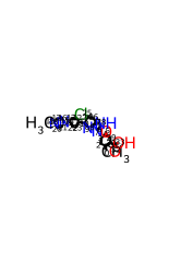 Cc1ccc(Oc2nc3nc(-c4ccc(N5CCN(C)CC5)cc4)c(Cl)cc3[nH]2)cc1C(=O)O